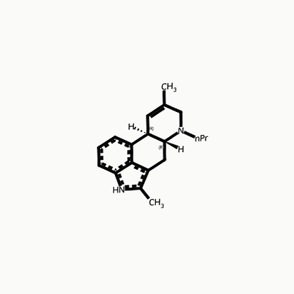 CCCN1CC(C)=C[C@@H]2c3cccc4[nH]c(C)c(c34)C[C@H]21